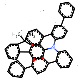 CC1(C)c2ccccc2-c2ccc(N(c3ccccc3-c3ccc(-c4ccccc4)cc3)c3ccc(-c4ccccc4)cc3-c3ccccc3)cc21